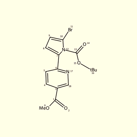 COC(=O)c1ccc(-c2ccc(Br)n2C(=O)OC(C)(C)C)nc1